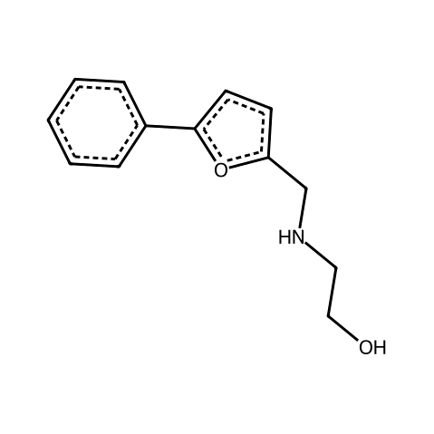 OCCNCc1ccc(-c2ccccc2)o1